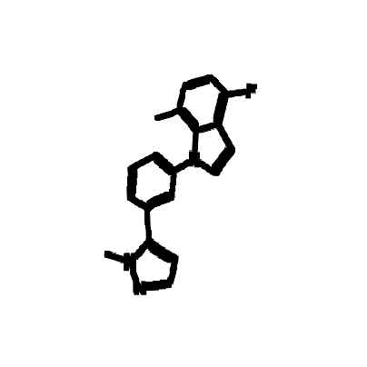 Cc1ccc(F)c2ccn(-c3cccc(-c4ccnn4C)c3)c12